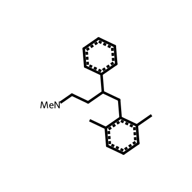 CNCCC(Cc1c(C)cccc1C)c1ccccc1